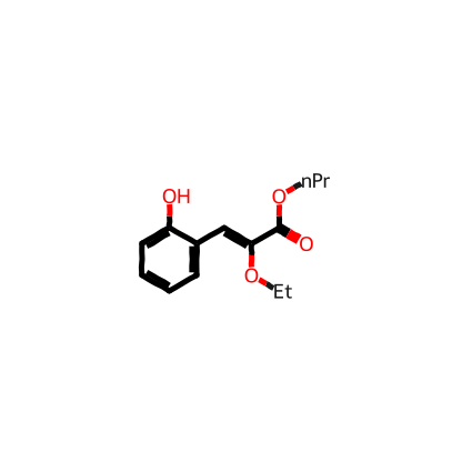 CCCOC(=O)C(=Cc1ccccc1O)OCC